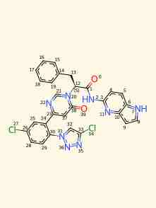 O=C(Nc1ccc2[nH]ccc2n1)[C@H](Cc1ccccc1)n1cnc(-c2cc(Cl)ccc2-n2cc(Cl)nn2)cc1=O